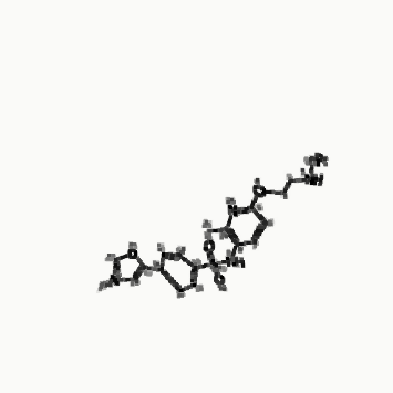 CCCNCCOc1ccc(NS(=O)(=O)c2ccc(-c3cnco3)cc2)c(C)n1